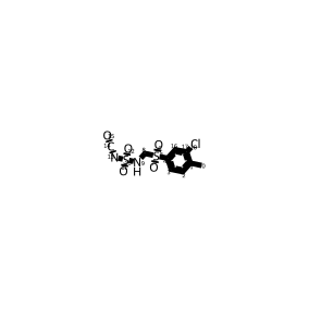 Cc1ccc(S(=O)(=O)CNS(=O)(=O)N=C=O)cc1Cl